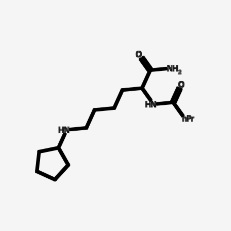 CCCC(=O)NC(CCCCNC1CCCC1)C(N)=O